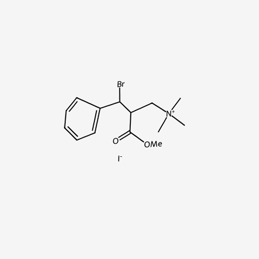 COC(=O)C(C[N+](C)(C)C)C(Br)c1ccccc1.[I-]